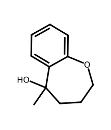 CC1(O)CCCOc2ccccc21